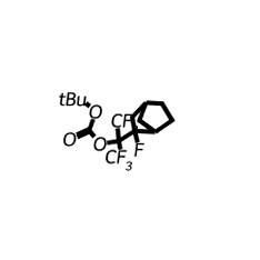 CC(C)(C)OC(=O)OC(C(F)(F)F)(C(F)(F)F)C1(F)CC2CCC1C2